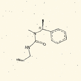 CCCCCCCCCCNC(=O)N(C)[C@@H](C)c1ccccc1